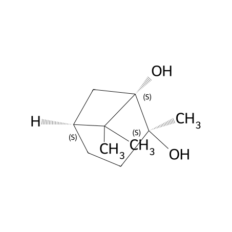 CC1(C)[C@H]2CC[C@](C)(O)[C@]1(O)C2